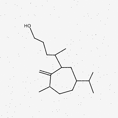 C=C1C(C)CCC(C(C)C)CC1C(C)CCCO